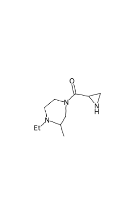 CCN1CCN(C(=O)C2CN2)CC1C